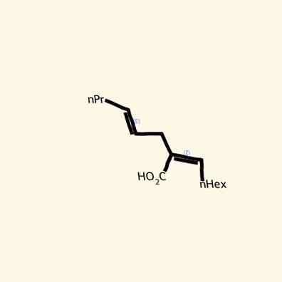 CCC/C=C/C/C(=C/CCCCCC)C(=O)O